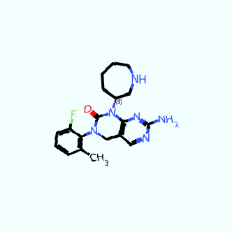 Cc1cccc(F)c1N1Cc2cnc(N)nc2N([C@H]2CCCCNC2)C1=O